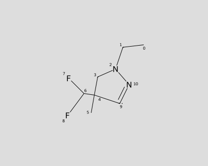 CCN1CC(C)(C(F)F)[C]=N1